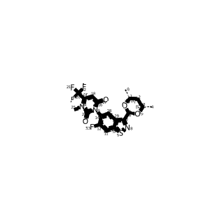 C[C@@H]1C[C@H](C)OC(c2nsc3cc(F)c(-n4c(=O)cc(C(F)(F)F)n(C)c4=O)cc23)O1